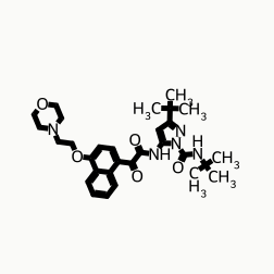 CC(C)(C)NC(=O)n1nc(C(C)(C)C)cc1NC(=O)C(=O)c1ccc(OCCN2CCOCC2)c2ccccc12